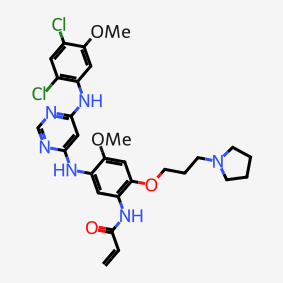 C=CC(=O)Nc1cc(Nc2cc(Nc3cc(OC)c(Cl)cc3Cl)ncn2)c(OC)cc1OCCCN1CCCC1